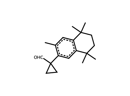 Cc1cc2c(cc1C1(C=O)CC1)C(C)(C)CCC2(C)C